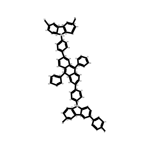 Cc1ccc(-c2ccc3c(c2)c2cc(C)ccc2n3-c2ccc(-c3ccc4c(-c5ccccc5)c5cc(-c6ccc(-n7c8ccc(C)cc8c8cc(C)ccc87)cc6)ccc5c(-c5ccccc5)c4c3)cc2)cc1